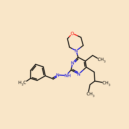 CCc1c(CC(C)CC)nc(N/N=C/c2cccc(C)c2)nc1N1CCOCC1